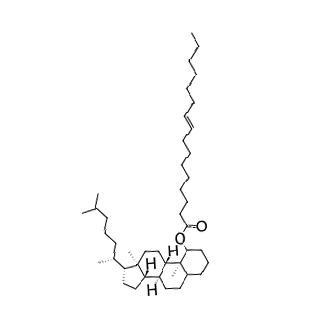 CCCCCCC=CCCCCCCCC(=O)OC1CCCC2CC[C@@H]3[C@H](CC[C@]4(C)[C@@H]([C@H](C)CCCC(C)C)CC[C@@H]34)[C@]21C